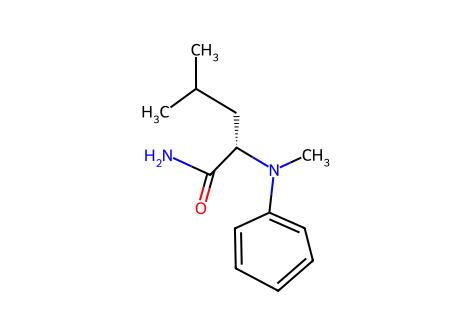 CC(C)C[C@@H](C(N)=O)N(C)c1ccccc1